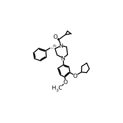 COc1ccc(N2CCN(C(=O)C3CC3)[C@@H](Cc3ccccc3)C2)cc1OC1CCCC1